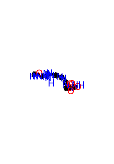 Cc1cccc(C(=O)NC2CC(n3cnc4c(NCc5ccc(N6CCN(CC7CCN(c8cccc9c8C(=O)N([C@H]8CCC(=O)NC8=O)C9=O)CC7)CC6)cc5)ncnc43)C2)n1